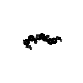 CN1CCc2ccc(NC(=O)c3cccc(CNC(=O)c4cccc(-c5cncc(N)c5)c4)c3)cc2C1